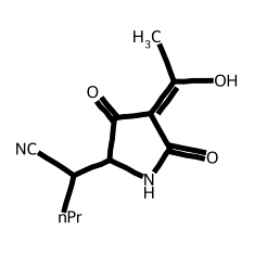 CCCC(C#N)C1NC(=O)/C(=C(/C)O)C1=O